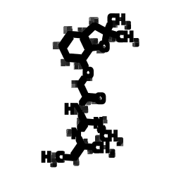 C=N/C(=N\C(C)=C/C)NC(=O)COc1cccc2c1OC(C)(C)C2